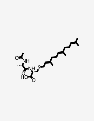 CC(=O)N[C@@H](C)C(=O)N[C@@H](CSC/C=C(\C)CC/C=C(\C)CCC=C(C)C)C(=O)O